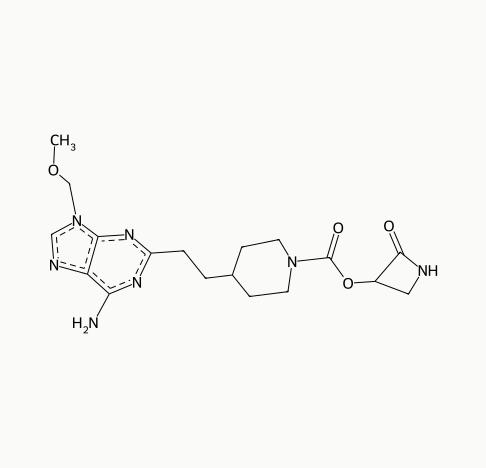 COCn1cnc2c(N)nc(CCC3CCN(C(=O)OC4CNC4=O)CC3)nc21